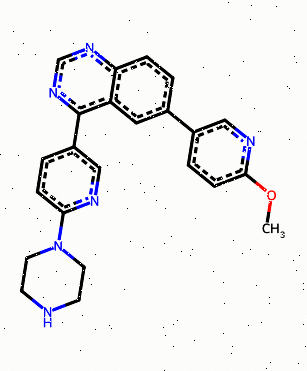 COc1ccc(-c2ccc3ncnc(-c4ccc(N5CCNCC5)nc4)c3c2)cn1